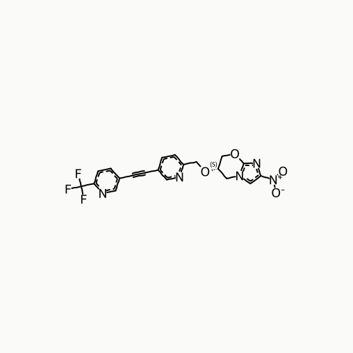 O=[N+]([O-])c1cn2c(n1)OC[C@@H](OCc1ccc(C#Cc3ccc(C(F)(F)F)nc3)cn1)C2